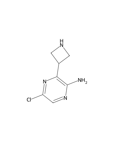 Nc1ncc(Cl)nc1C1CNC1